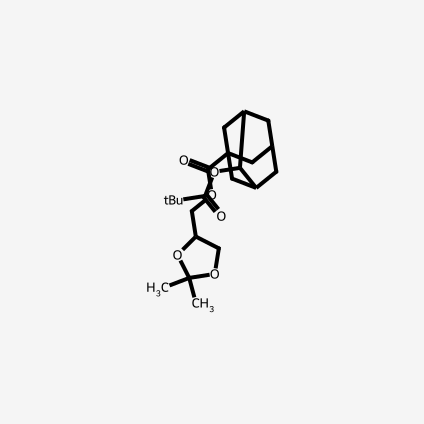 CC1(C)OCC(COC(=O)C23CC4CC(C2)C(OC(=O)C(C)(C)C)C(C4)C3)O1